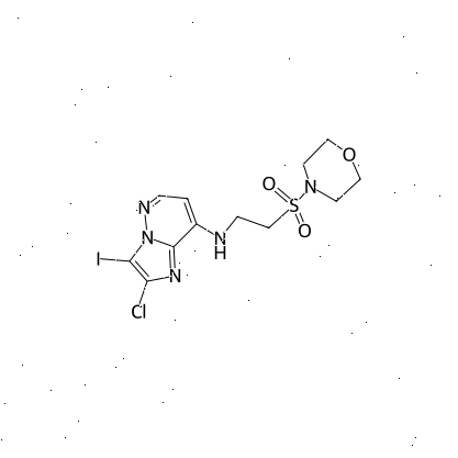 O=S(=O)(CCNc1ccnn2c(I)c(Cl)nc12)N1CCOCC1